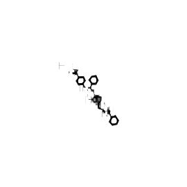 COC(=O)c1ccc(NC(C(=O)O[C@H]2C[N+]3(Cc4noc(-c5ccccc5)n4)CCC2CC3)c2ccccc2)cc1